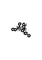 c1ccc(-c2ccc(-c3ccc(-c4nc(-c5ccccc5)nc(-c5ccc6ccccc6c5)n4)c4c3oc3cc5ncccc5cc34)cc2)cc1